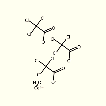 O.O=C([O-])C(Cl)(Cl)Cl.O=C([O-])C(Cl)(Cl)Cl.O=C([O-])C(Cl)(Cl)Cl.[Ce+3]